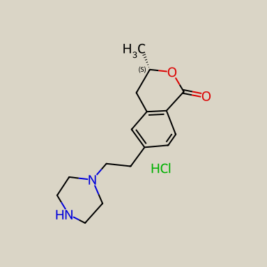 C[C@H]1Cc2cc(CCN3CCNCC3)ccc2C(=O)O1.Cl